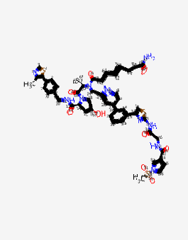 Cc1ncsc1-c1ccc(CNC(=O)[C@@H]2C[C@@H](O)CN2C(=O)[C@@H](N(Cc2cc(-c3cccc(-c4csc(NC(=O)CNC(=O)c5ccn(S(C)(=O)=O)c5)n4)c3)ccn2)C(=O)CCCCCCC(N)=O)C(C)(C)C)cc1